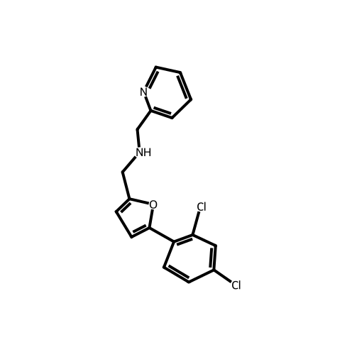 Clc1ccc(-c2ccc(CNCc3ccccn3)o2)c(Cl)c1